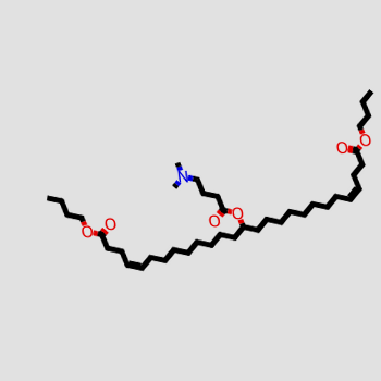 CCCCOC(=O)CC/C=C\CCCCCCCCC(CCCCCCCC/C=C\CCC(=O)OCCCC)OC(=O)CCCN(C)C